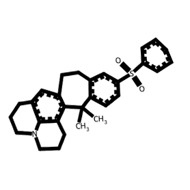 CC1(C)c2ccc(S(=O)(=O)c3ccccc3)cc2CCc2cc3c4c(c21)CCCN4CCC3